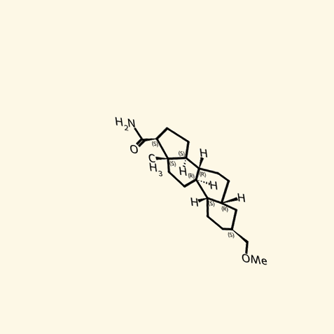 COC[C@H]1CC[C@H]2[C@H](CC[C@@H]3[C@@H]2CC[C@]2(C)[C@@H](C(N)=O)CC[C@@H]32)C1